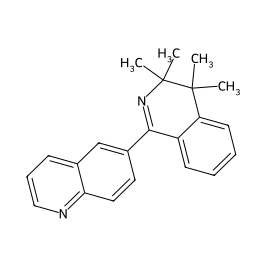 CC1(C)N=C(c2ccc3ncccc3c2)c2ccccc2C1(C)C